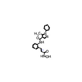 Cc1c(C(=O)Nc2ccccc2/C=C/C(=O)NO)cnn1-c1ccccc1